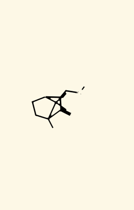 CCCCCNC=C1C(=O)C2(C)CCC1C2(C)C